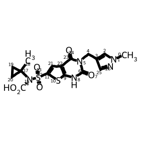 Cn1cc(Cn2c(=O)[nH]c3sc(S(=O)(=O)N(C(=O)O)C4(C)CC4)cc3c2=O)cn1